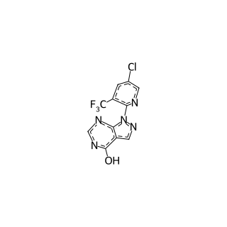 Oc1ncnc2c1cnn2-c1ncc(Cl)cc1C(F)(F)F